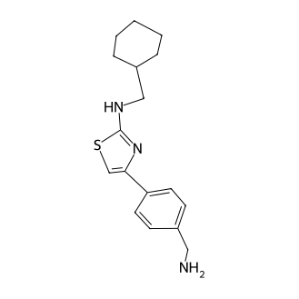 NCc1ccc(-c2csc(NCC3CCCCC3)n2)cc1